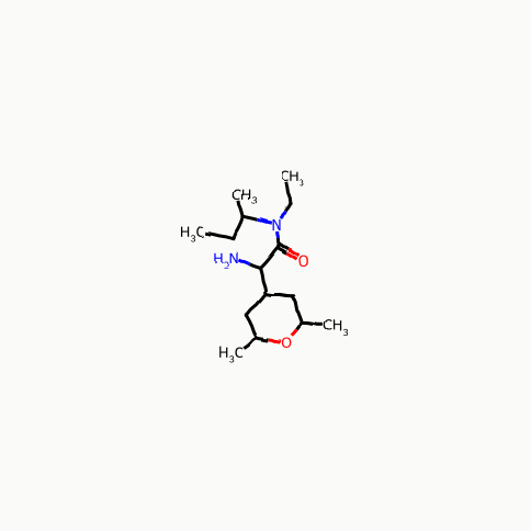 CCC(C)N(CC)C(=O)C(N)C1CC(C)OC(C)C1